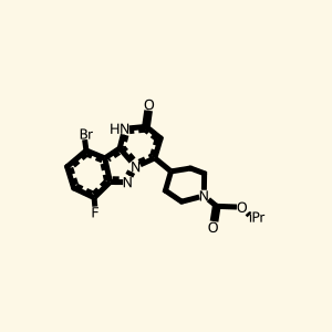 CC(C)OC(=O)N1CCC(c2cc(=O)[nH]c3c4c(Br)ccc(F)c4nn23)CC1